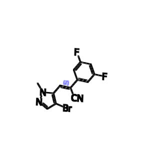 Cn1ncc(Br)c1/C=C(\C#N)c1cc(F)cc(F)c1